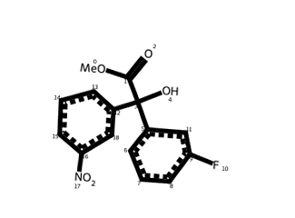 COC(=O)C(O)(c1cccc(F)c1)c1cccc([N+](=O)[O-])c1